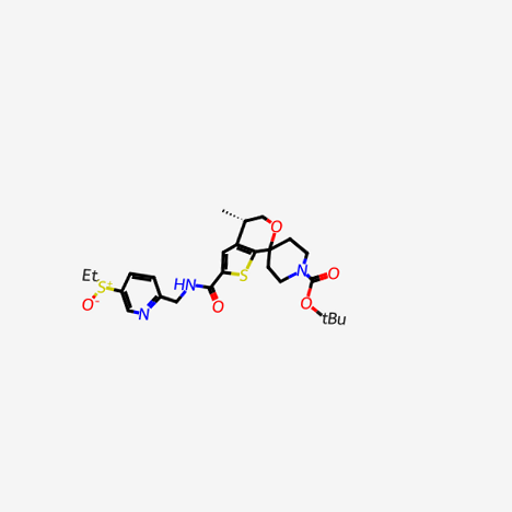 CC[S+]([O-])c1ccc(CNC(=O)c2cc3c(s2)C2(CCN(C(=O)OC(C)(C)C)CC2)OC[C@H]3C)nc1